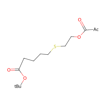 CC(=O)C(=O)OCCSCCCCC(=O)OC(C)(C)C